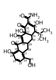 CN(C)C1C(O)=C(C(N)=O)C(=O)C2(O)C(O)=C3C(=O)c4c(O)ccc(CO)c4CC3CC12